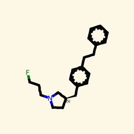 FCCCN1CC[C@H](Cc2ccc(CCc3ccccc3)cc2)C1